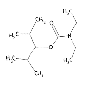 CCN(CC)C(=O)OC(C(C)C)C(C)C